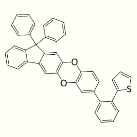 c1ccc(C2(c3ccccc3)c3ccccc3-c3cc4c(cc32)Oc2ccc(-c3ccccc3-c3cccs3)cc2O4)cc1